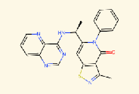 Cc1nsc2cc([C@H](C)Nc3ncnc4cccnc34)n(-c3ccccc3)c(=O)c12